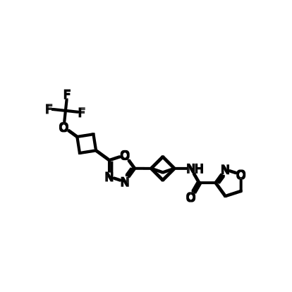 O=C(NC12CC(c3nnc(C4CC(OC(F)(F)F)C4)o3)(C1)C2)C1=NOCC1